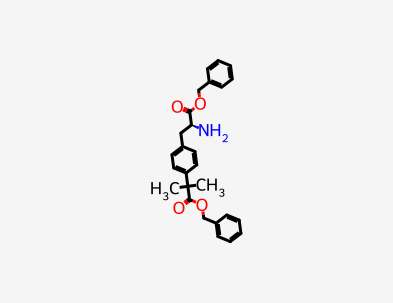 CC(C)(C(=O)OCc1ccccc1)c1ccc(C[C@H](N)C(=O)OCc2ccccc2)cc1